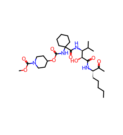 CCCCC[C@H](NC(=O)[C@@H](O)[C@@H](NC(=O)C1(NC(=O)OC2CCN(C(=O)OC)CC2)CCCCC1)C(C)C)C(C)=O